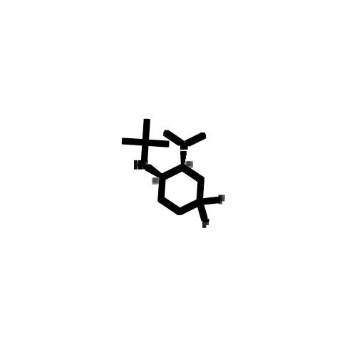 CN(C)[C@@H]1CC(F)(F)CC[C@H]1NC(C)(C)C